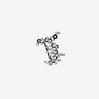 CC[C@H](C)[C@@H]([C@@H](CC(=O)N1CCC[C@H]1[C@H](OC)[C@@H](C)C(=O)N[C@@H](Cc1ccc(O)cc1)C(=O)N1CCCCO1)OC)N(C)C(=O)[C@@H](NC(=O)[C@H](C(C)C)N(C)CCOCCOCCOCCC(=O)ON1C(=O)CCC1=O)C(C)C